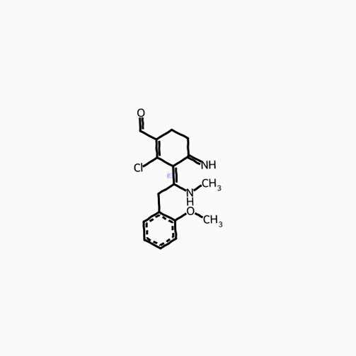 CN/C(Cc1ccccc1OC)=C1\C(=N)CCC(C=O)=C1Cl